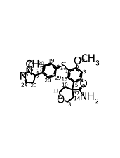 COc1ccc(C2(C(N)=O)CCOCC2)cc1Sc1ccc(C2CC=NN2C)cc1